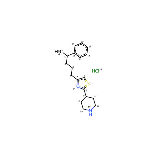 CC(CCCc1csc(C2CCNCC2)n1)c1ccccc1.Cl